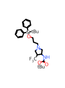 CC(C)(C)OC(=O)NC1CN(CCCO[Si](c2ccccc2)(c2ccccc2)C(C)(C)C)CC1C(F)(F)F